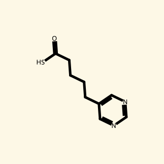 O=C(S)CCCCc1cncnc1